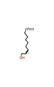 CCCCCCCCCC/C=C\CO